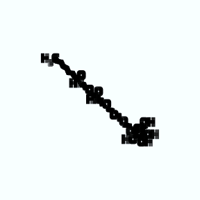 CCCCCCCCC(=O)NCCOCC(=O)NCCOCCOCCOCCO[C@H]1OC(CO)[C@@H](O)[C@H](O)C1O